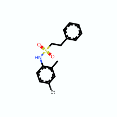 CCc1ccc(NS(=O)(=O)CCc2ccccc2)c(C)c1